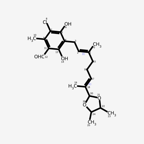 C/C(=C\Cc1c(O)c(Cl)c(C)c(C=O)c1O)CC/C=C(\C)C1OC(C)C(C)O1